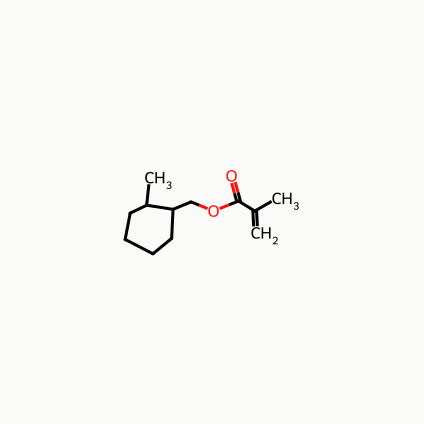 C=C(C)C(=O)OCC1CCCCC1C